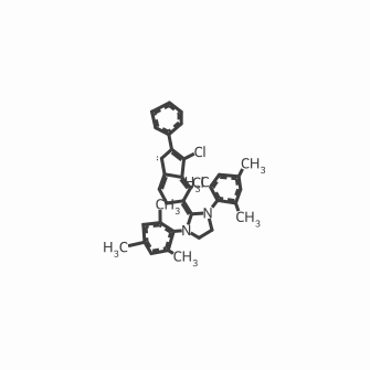 Cc1cc(C)c(N2CCN(c3c(C)cc(C)cc3C)C2=C2CC=C3[C]C(c4ccccc4)=C(Cl)C3=C2Cl)c(C)c1